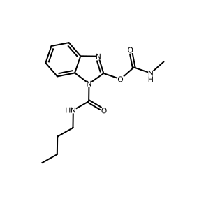 CCCCNC(=O)n1c(OC(=O)NC)nc2ccccc21